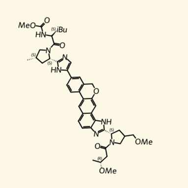 CC[C@H](C)C(NC(=O)OC)C(=O)N1C[C@@H](C)C[C@H]1c1ncc(-c2ccc3c(c2)COc2cc4c(ccc5nc([C@@H]6CC(COC)CN6C(=O)C[C@@H](C)OC)[nH]c54)cc2-3)[nH]1